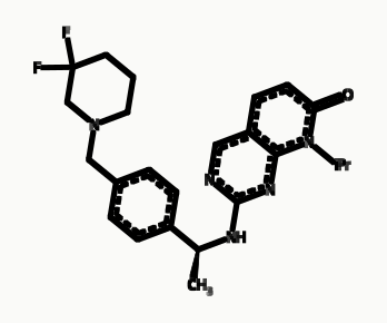 CC(C)n1c(=O)ccc2cnc(N[C@@H](C)c3ccc(CN4CCCC(F)(F)C4)cc3)nc21